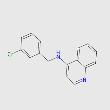 Clc1cccc(CNc2ccnc3ccccc23)c1